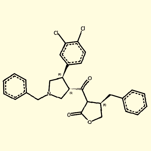 O=C1OC[C@H](Cc2ccccc2)C1C(=O)[C@@H]1CN(Cc2ccccc2)C[C@H]1c1ccc(Cl)c(Cl)c1